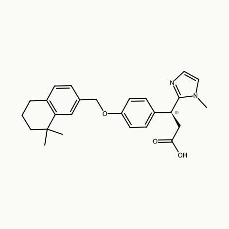 Cn1ccnc1[C@@H](CC(=O)O)c1ccc(OCc2ccc3c(c2)C(C)(C)CCC3)cc1